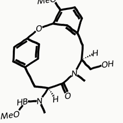 COBN(C)[C@H]1Cc2ccc(cc2)Oc2cc(ccc2OC)C[C@@H](CO)N(C)C1=O